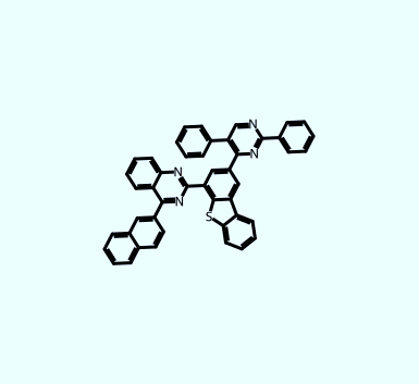 c1ccc(-c2ncc(-c3ccccc3)c(-c3cc(-c4nc(-c5ccc6ccccc6c5)c5ccccc5n4)c4sc5ccccc5c4c3)n2)cc1